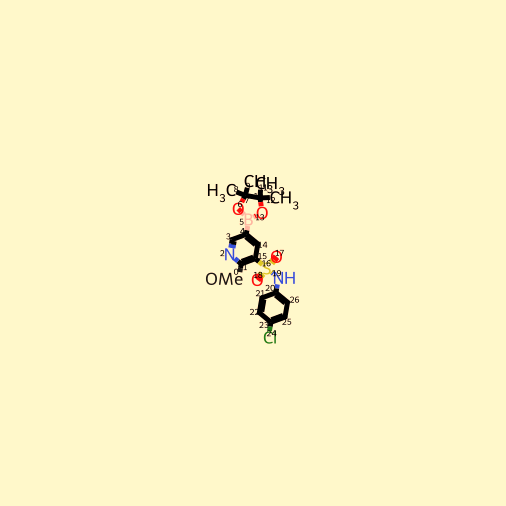 COc1ncc(B2OC(C)(C)C(C)(C)O2)cc1S(=O)(=O)Nc1ccc(Cl)cc1